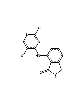 O=C1NCc2cccc(Nc3nc(Cl)ncc3Cl)c21